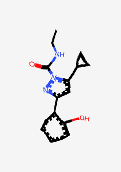 CCNC(=O)n1nc(-c2ccccc2O)cc1C1CC1